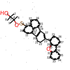 CC(C)(O)C(C)(C)OSc1ccc2c3c(cccc13)C1=C2CCC(c2cccc3c2oc2ccccc23)=C1